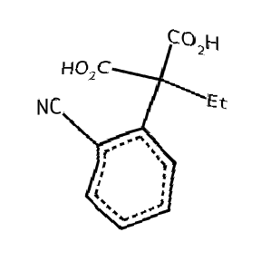 CCC(C(=O)O)(C(=O)O)c1ccccc1C#N